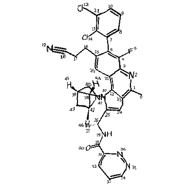 Cc1nc2c(F)c(-c3cccc(Cl)c3Cl)c(CCC#N)cc2c2c1cc([C@@H](C)NC(=O)c1cccnn1)n2[C@H]1[C@H]2CN[C@@H]1C2